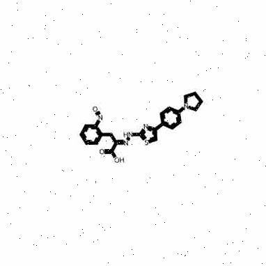 O=Nc1ccccc1C/C(=N\Nc1nc(-c2ccc(N3CCCC3)cc2)cs1)C(=O)O